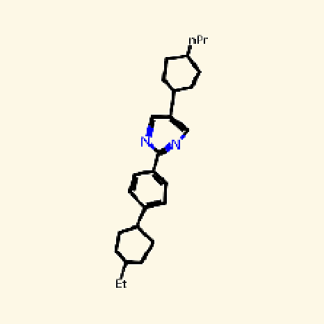 CCCC1CCC(c2cnc(-c3ccc(C4CCC(CC)CC4)cc3)nc2)CC1